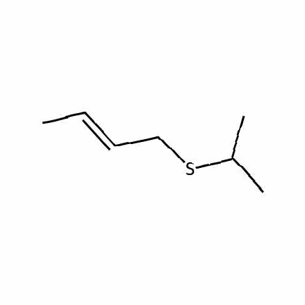 CC=CCSC(C)C